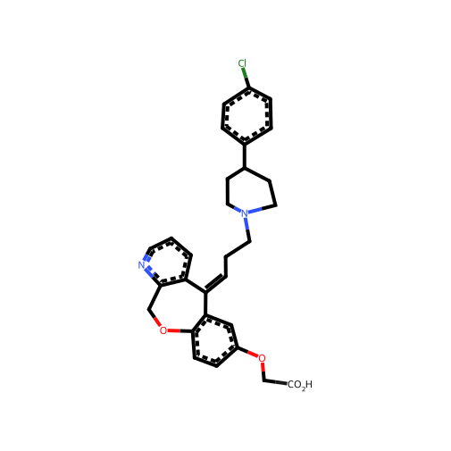 O=C(O)COc1ccc2c(c1)/C(=C/CCN1CCC(c3ccc(Cl)cc3)CC1)c1cccnc1CO2